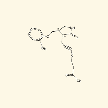 O=C(O)CSCC#CC[C@H]1C(=S)NC[C@@H]1COc1ccccc1O